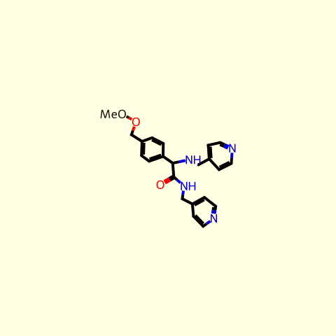 COOCc1ccc(C(NCc2ccncc2)C(=O)NCc2ccncc2)cc1